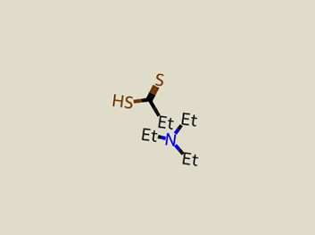 CCC(=S)S.CCN(CC)CC